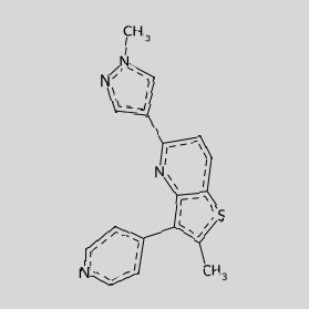 Cc1sc2ccc(-c3cnn(C)c3)nc2c1-c1ccncc1